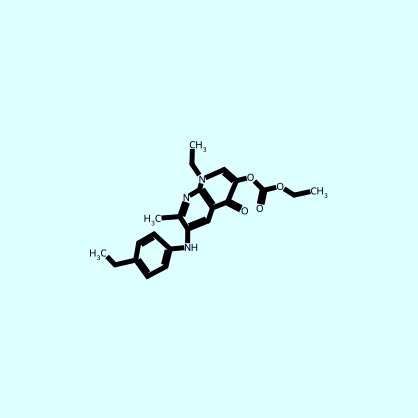 CCOC(=O)Oc1cn(CC)c2nc(C)c(Nc3ccc(CC)cc3)cc2c1=O